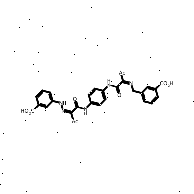 CC(=O)/C(=N/Cc1cccc(C(=O)O)c1)C(=O)Nc1ccc(NC(=O)/C(=N\Nc2cccc(C(=O)O)c2)C(C)=O)cc1